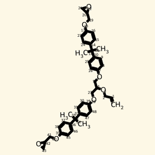 C=CCOC(COc1ccc(C(C)(C)c2ccc(OCC3CO3)cc2)cc1)COc1ccc(C(C)(C)c2ccc(OCC3CO3)cc2)cc1